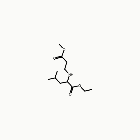 CCOC(=O)C(CC(C)C)NCCC(=O)OC